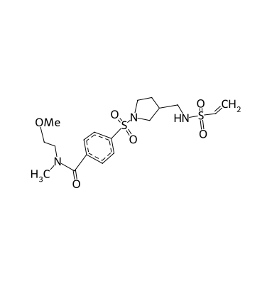 C=CS(=O)(=O)NCC1CCN(S(=O)(=O)c2ccc(C(=O)N(C)CCOC)cc2)C1